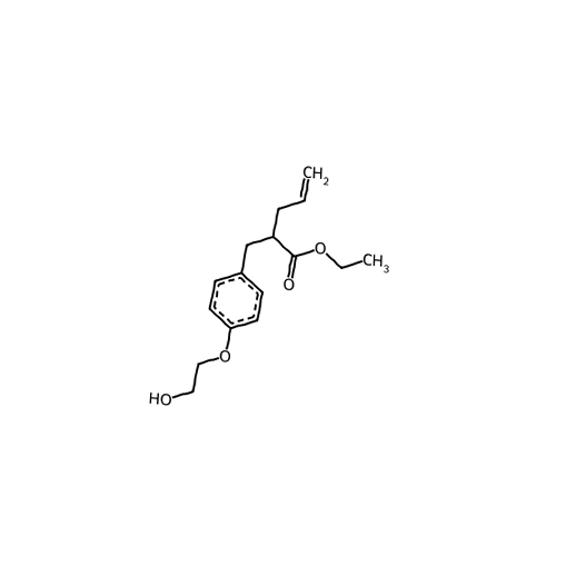 C=CCC(Cc1ccc(OCCO)cc1)C(=O)OCC